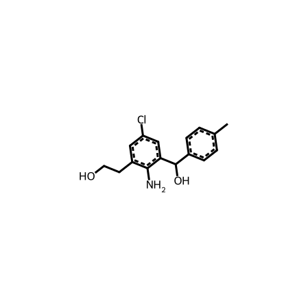 Cc1ccc(C(O)c2cc(Cl)cc(CCO)c2N)cc1